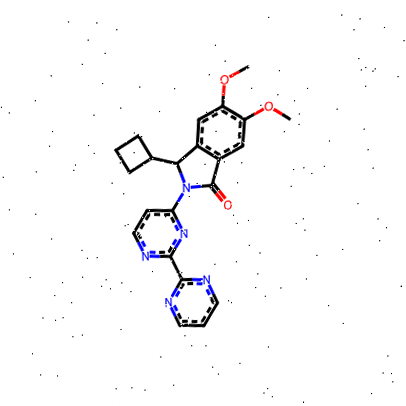 COc1cc2c(cc1OC)C(C1CCC1)N(c1ccnc(-c3ncccn3)n1)C2=O